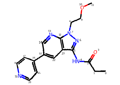 CCC(=O)Nc1nn(CCOC)c2ncc(-c3ccncc3)cc12